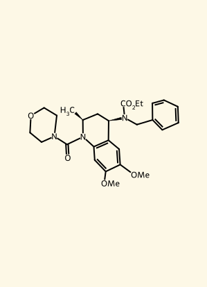 CCOC(=O)N(Cc1ccccc1)[C@@H]1C[C@H](C)N(C(=O)N2CCOCC2)c2cc(OC)c(OC)cc21